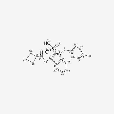 Cc1ccc(Cn2c(S(=O)(=O)O)c(CNC3CCC3)c3ccccc32)cc1